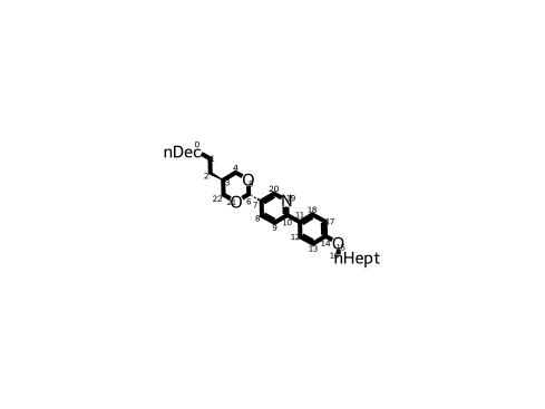 CCCCCCCCCCCC[C@H]1CO[C@H](c2ccc(-c3ccc(OCCCCCCC)cc3)nc2)OC1